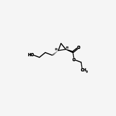 CCOC(=O)[C@@H]1C[C@H]1CCCO